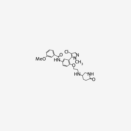 COc1cccc(C(=O)Nc2ccc(OCCNC3CCC(=O)NC3)c(-c3c(Cl)cnn3C)c2)c1